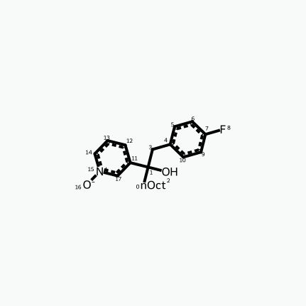 CCCCCCCCC(O)(Cc1ccc(F)cc1)c1ccc[n+]([O-])c1